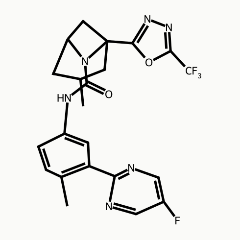 Cc1ccc(NC(=O)N2C3CC(C)CC2(c2nnc(C(F)(F)F)o2)C3)cc1-c1ncc(F)cn1